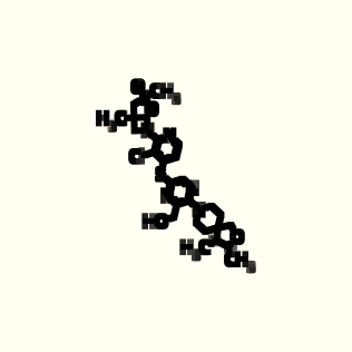 C[C@@H]1OCC2(CCN(c3ncc(Sc4ccnc(N5CC(C)(CS(C)(=O)=O)C5)c4Cl)nc3CO)CC2)[C@@H]1C